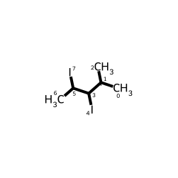 C[C](C)C(I)C(C)I